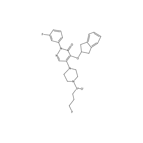 O=c1c(OC2Cc3ccccc3C2)c(N2CCN([S+]([O-])CCCF)CC2)cnn1-c1cccc(F)c1